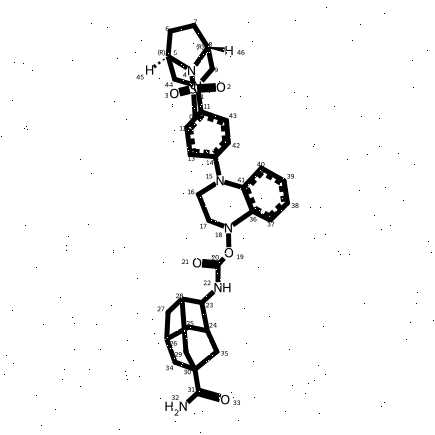 CS(=O)(=O)N1[C@@H]2CC[C@@H]1CN(c1ccc(N3CCN(OC(=O)NC4C5CC6CC4CC(C(N)=O)(C6)C5)c4ccccc43)cc1)C2